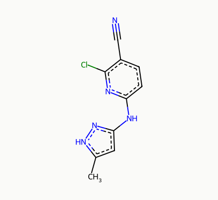 Cc1cc(Nc2ccc(C#N)c(Cl)n2)n[nH]1